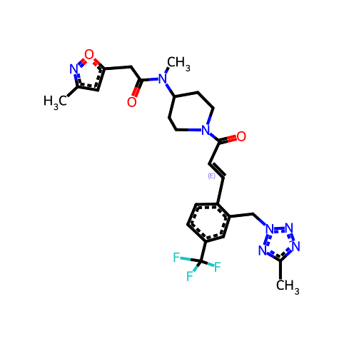 Cc1cc(CC(=O)N(C)C2CCN(C(=O)/C=C/c3ccc(C(F)(F)F)cc3Cn3nnc(C)n3)CC2)on1